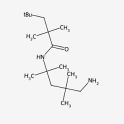 CC(C)(C)CC(C)(C)C(=O)NC(C)(C)CC(C)(C)CN